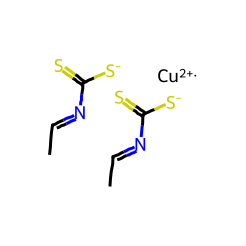 CC=NC(=S)[S-].CC=NC(=S)[S-].[Cu+2]